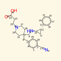 N#Cc1ccc(CC2(CN[C@@H]3C[C@H]3c3ccccc3)CCN(CCC(=O)O)CC2)cc1